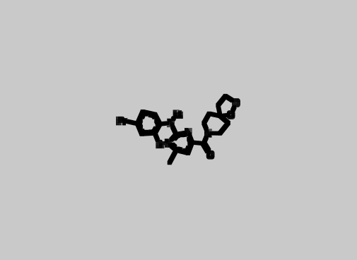 CCN(c1nc(C)cc(C(=O)N2CCC3(CCOO3)CC2)n1)c1ccc(C(C)C)cc1Br